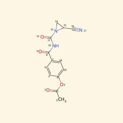 CC(=O)Oc1ccc(C(=O)NC(=O)N2CC2C#N)cc1